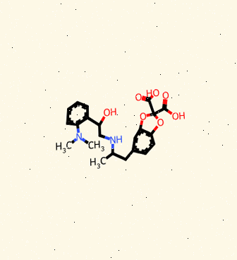 CC(Cc1ccc2c(c1)OC(C(=O)O)(C(=O)O)O2)NCC(O)c1ccccc1N(C)C